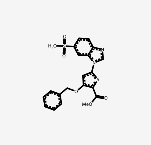 COC(=O)c1sc(-n2cnc3ccc(S(C)(=O)=O)cc32)cc1OCc1ccccc1